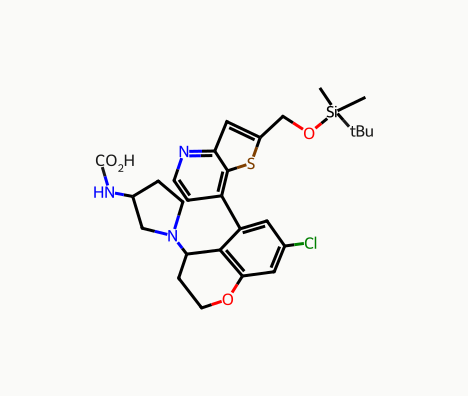 CC(C)(C)[Si](C)(C)OCc1cc2nccc(-c3cc(Cl)cc4c3C(N3CCC(NC(=O)O)C3)CCO4)c2s1